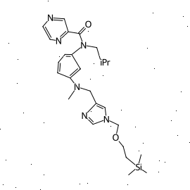 CC(C)CN(C(=O)c1cnccn1)c1cccc(N(C)Cc2cn(COCC[Si](C)(C)C)cn2)c1